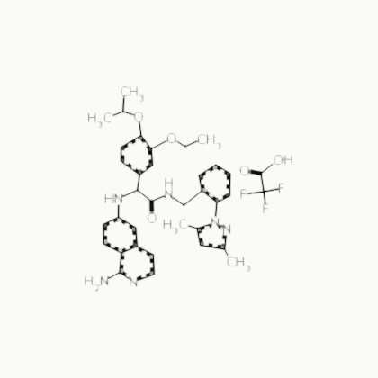 CCOc1cc(C(Nc2ccc3c(N)nccc3c2)C(=O)NCc2ccccc2-n2nc(C)cc2C)ccc1OC(C)C.O=C(O)C(F)(F)F